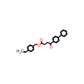 C=Cc1ccc(COC(=O)CCC(=O)c2ccc(-c3ccccc3)cc2)cc1